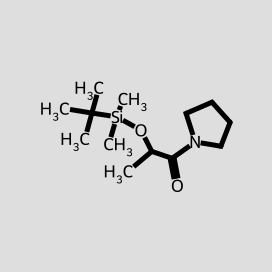 CC(O[Si](C)(C)C(C)(C)C)C(=O)N1CCCC1